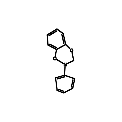 c1ccc(N2COc3ccccc3O2)cc1